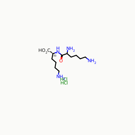 Cl.Cl.NCCCCC(N)C(=O)N[C@@H](CCCCN)C(=O)O